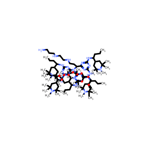 CCCC(Nc1nc(NC(CCC)C2CC(C)(C)N(C)C(C)(C)C2)nc(C(CCNCCNCCCN)N(c2nc(NC(CCC)C3CC(C)(C)N(C)C(C)(C)C3)nc(NC(CCC)C3CC(C)(C)N(C)C(C)(C)C3)n2)c2nc(NC(CCC)C3CC(C)(C)N(C)C(C)(C)C3)nc(NC(CCC)C3CC(C)(C)N(C)C(C)(C)C3)n2)n1)C1CC(C)(C)N(C)C(C)(C)C1